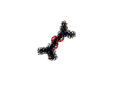 c1ccc2c(c1)sc1cc(N(c3ccc(C4CCCCC4)cc3)c3ccc4c(c3)oc3cc5c(cc34)oc3cc4c(cc35)oc3cc(N(c5ccc(C6CCCCC6)cc5)c5ccc6c(c5)sc5ccccc56)ccc34)ccc12